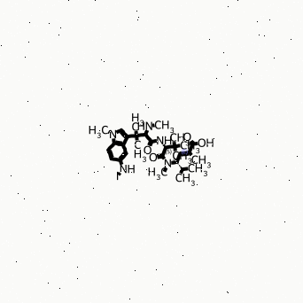 CNC(C(=O)N[C@H](C(=O)N(C)[C@H](/C=C(\C)C(=O)O)C(C)C)C(C)(C)C)C(C)(C)c1cn(C)c2ccc(NI)cc12